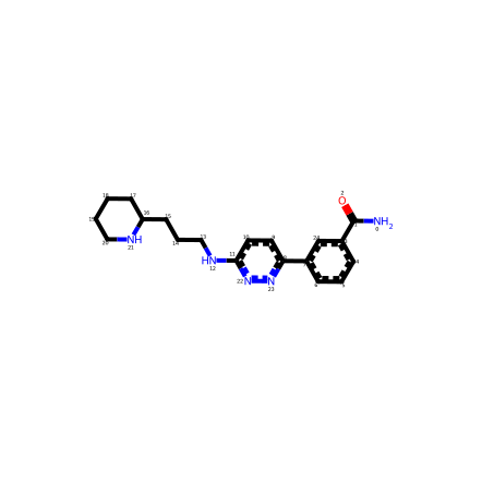 NC(=O)c1cccc(-c2ccc(NCCCC3CCCCN3)nn2)c1